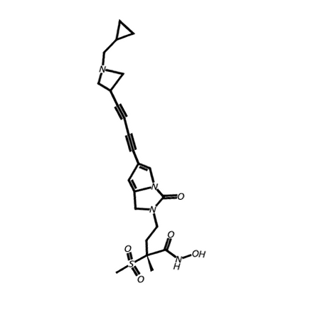 C[C@@](CCN1Cc2cc(C#CC#CC3CN(CC4CC4)C3)cn2C1=O)(C(=O)NO)S(C)(=O)=O